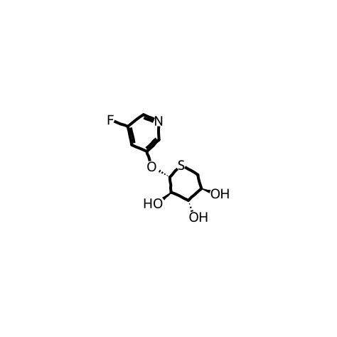 O[C@@H]1[C@@H](O)[C@H](Oc2cncc(F)c2)SC[C@H]1O